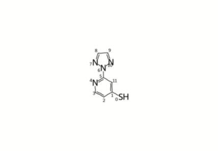 Sc1ccnc(-n2nccn2)c1